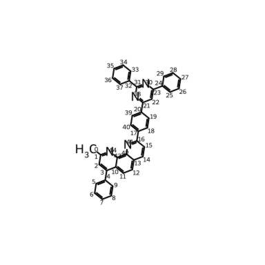 Cc1cc(-c2ccccc2)c2ccc3ccc(-c4ccc(-c5cc(-c6ccccc6)nc(-c6ccccc6)n5)cc4)nc3c2n1